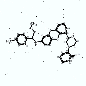 COCC(Nc1ccc2c(c1)Sc1cccc(C3CN(c4ccc[nH]c4=O)CCO3)c1S2)c1ccc(C)cn1